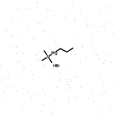 Br.CC[CH2][Mg][Si](C)(C)C